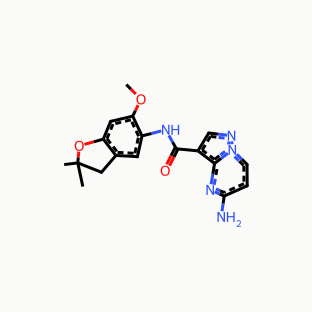 COc1cc2c(cc1NC(=O)c1cnn3ccc(N)nc13)CC(C)(C)O2